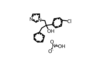 O=[N+]([O-])O.OC(Cc1ccccc1)(Cn1ccnc1)c1ccc(Cl)cc1